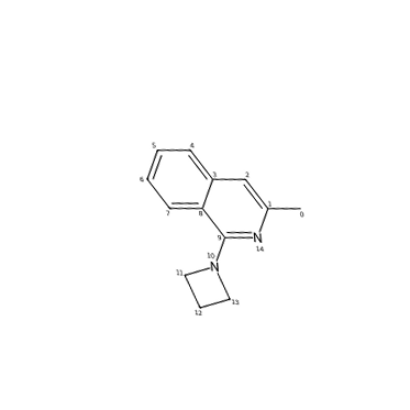 Cc1cc2ccccc2c(N2CCC2)n1